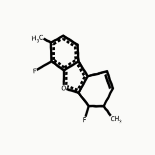 Cc1ccc2c3c(oc2c1F)C(F)C(C)C=C3